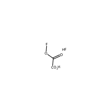 F.O=C(O)C(=O)OF